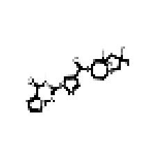 O=C(c1cnn(-c2nn3cccc3c(=O)[nH]2)c1)N1CCN2CC(F)(F)C[C@H]2C1